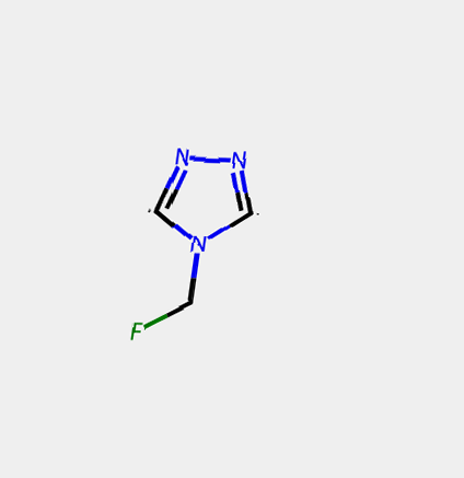 FCn1[c]nn[c]1